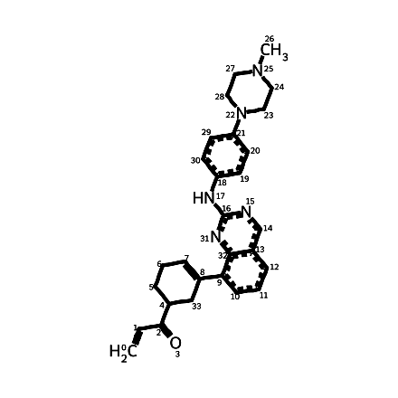 C=CC(=O)C1CCC=C(c2cccc3cnc(Nc4ccc(N5CCN(C)CC5)cc4)nc23)C1